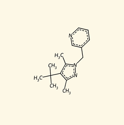 Cc1nn(Cc2cccnc2)c(C)c1C(C)(C)C